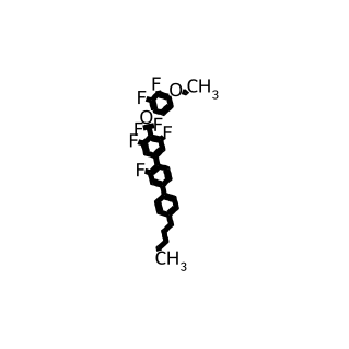 CCCCCc1ccc(-c2ccc(-c3cc(F)c(C(F)(F)Oc4ccc(OCC)c(F)c4F)c(F)c3)c(F)c2)cc1